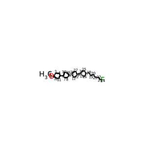 COc1ccc(-c2ccc([C@H]3CC[C@H]([C@H]4CC[C@H](CCCCCCF)CC4)CC3)cc2)cc1